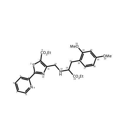 CCOC(=O)c1sc(-c2ccccn2)nc1CNC(Cc1ccc(OC)cc1OC)C(=O)OCC